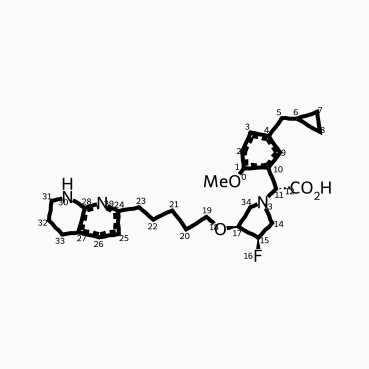 COc1ccc(CC2CC2)cc1[C@H](C(=O)O)N1C[C@@H](F)[C@@H](OCCCCCc2ccc3c(n2)NCCC3)C1